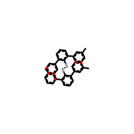 Cc1cccc(-c2cccc(-c3cccc(C)c3)c2SSc2c(-c3cccc(C)c3)cccc2-c2cccc(C)c2)c1